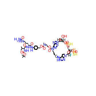 CC(C)[C@H](NC(=O)OC(C)(C)C)C(=O)N[C@@H](CCCNC(N)=O)C(=O)Nc1ccc(COC(=O)N(C)CCOC(=O)N2C/C=C/CNc3ncnc4c3ccn4[C@@H]3O[C@H](CO[P@@](=O)(S)O[C@H]4[C@@H](F)[C@@H](O[C@@H]4CO)n4cnc5c2ncnc54)[C@@H](O[PH](=O)S)[C@H]3F)cc1